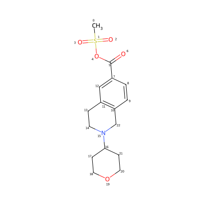 CS(=O)(=O)OC(=O)c1ccc2c(c1)CCN(C1CCOCC1)C2